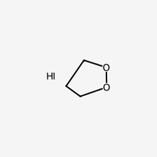 C1COOC1.I